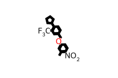 Cc1cc(OCc2ccc(C3CCCC3)c(C(F)(F)F)c2)ccc1[N+](=O)[O-]